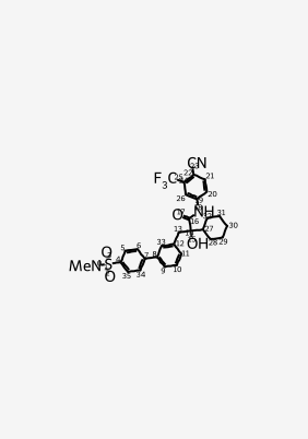 CNS(=O)(=O)c1ccc(-c2cccc(C[C@](O)(C(=O)Nc3ccc(C#N)c(C(F)(F)F)c3)C3CCCCC3)c2)cc1